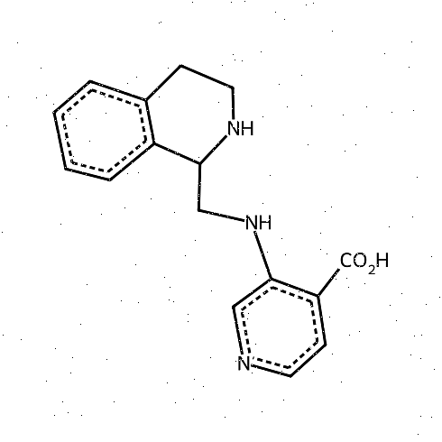 O=C(O)c1ccncc1NCC1NCCc2ccccc21